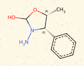 C[C@H]1OC(O)N(N)[C@H]1c1ccccc1